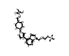 C[Si](C)(C)CCOCn1ccc2c(-c3cnn(C4CCC(COS(C)(=O)=O)CC4)c3)ncnc21